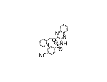 N#Cc1ccc(S(=O)(=O)Nc2nc3ccccc3nc2OCc2ccccn2)cc1